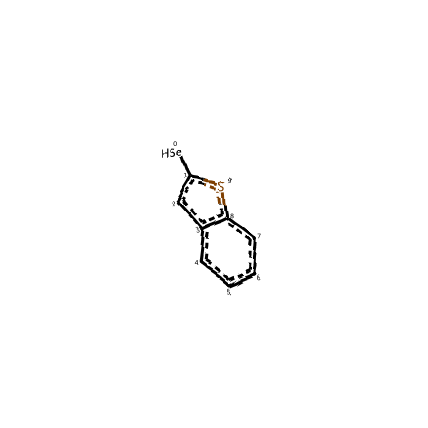 [SeH]c1cc2ccccc2s1